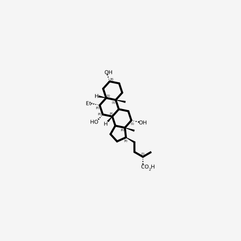 CC[C@H]1[C@@H](O)[C@H]2C3CC[C@H](CC[C@H](C)C(=O)O)[C@@]3(C)[C@@H](O)CC2[C@@]2(C)CC[C@@H](O)C[C@@H]12